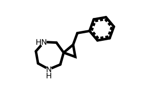 c1ccc(CC2CC23CNCCNC3)cc1